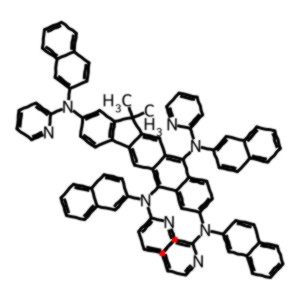 CC1(C)c2cc(N(c3ccc4ccccc4c3)c3ccccn3)ccc2-c2cc3c(N(c4ccc5ccccc5c4)c4ccccn4)c4cc(N(c5ccc6ccccc6c5)c5ccccn5)ccc4c(N(c4ccc5ccccc5c4)c4ccccn4)c3cc21